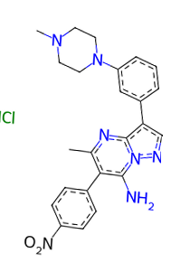 Cc1nc2c(-c3cccc(N4CCN(C)CC4)c3)cnn2c(N)c1-c1ccc([N+](=O)[O-])cc1.Cl